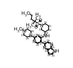 CCCC(C)(C)S(=O)(=O)N1CCCC(Nc2nc(N3CCN(C)CC3)ncc2-c2cnc3[nH]ccc3n2)C1